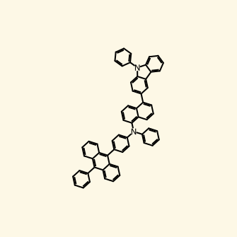 c1ccc(-c2c3ccccc3c(-c3ccc(N(c4ccccc4)c4cccc5c(-c6ccc7c(c6)c6ccccc6n7-c6ccccc6)cccc45)cc3)c3ccccc23)cc1